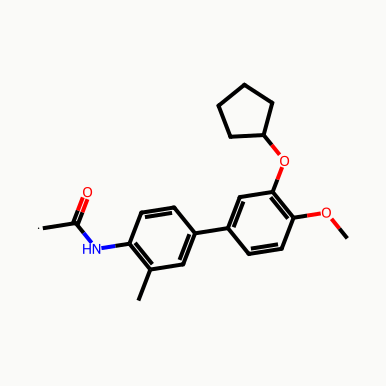 [CH2]C(=O)Nc1ccc(-c2ccc(OC)c(OC3CCCC3)c2)cc1C